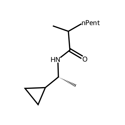 CCCCCC(C)C(=O)N[C@H](C)C1CC1